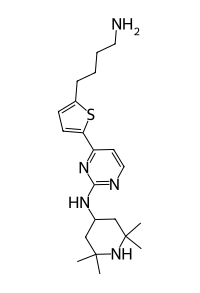 CC1(C)CC(Nc2nccc(-c3ccc(CCCCN)s3)n2)CC(C)(C)N1